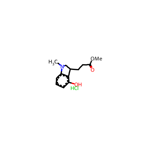 COC(=O)CCC1CN(C)c2cccc(O)c21.Cl